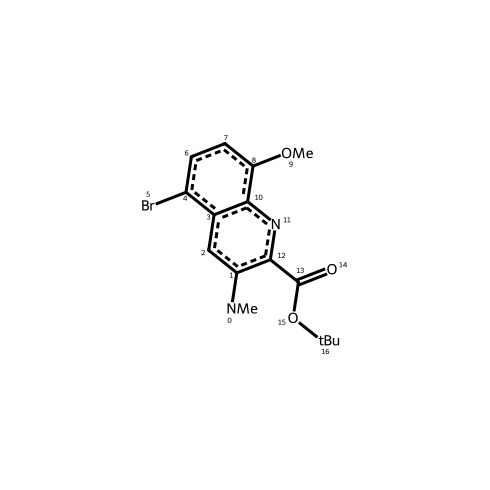 CNc1cc2c(Br)ccc(OC)c2nc1C(=O)OC(C)(C)C